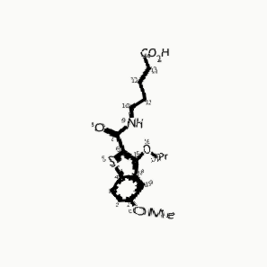 COc1ccc2sc(C(=O)NCCCCC(=O)O)c(OC(C)C)c2c1